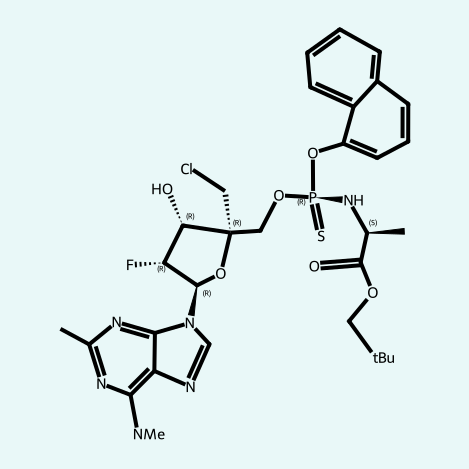 CNc1nc(C)nc2c1ncn2[C@@H]1O[C@](CCl)(CO[P@](=S)(N[C@@H](C)C(=O)OCC(C)(C)C)Oc2cccc3ccccc23)[C@@H](O)[C@H]1F